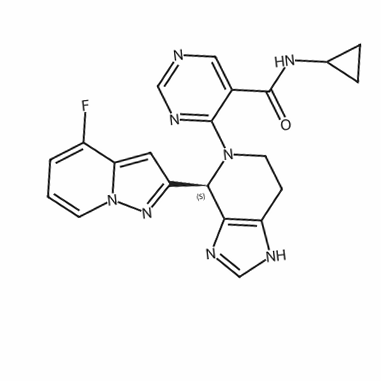 O=C(NC1CC1)c1cncnc1N1CCc2[nH]cnc2[C@H]1c1cc2c(F)cccn2n1